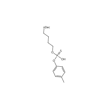 CCCCCCCCCCCCCCOP(O)(=S)Oc1ccc(C)cc1